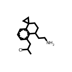 CC(Cl)Cc1cccc2c1C(CCN)CCC21CC1